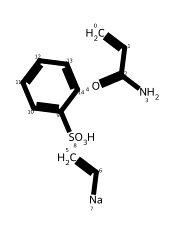 C=CC(N)=O.C=[CH][Na].O=S(=O)(O)c1ccccc1